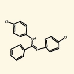 Clc1ccc(N=C(Nc2ccc(Cl)cc2)c2ccccc2)cc1